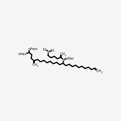 C=CCCCCCCCCCC(CCCCCCCCC(=C)CCC(CCCCC)CCCCCC)N(CCCCCCCCCC)C(=C)CCCCN(CC)CC